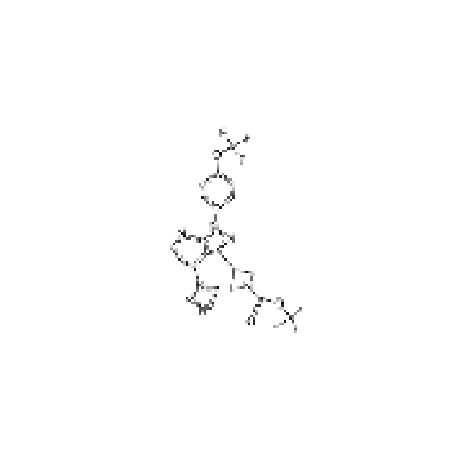 CC(C)(C)OC(=O)N1CC(c2nn(-c3ccc(OC(F)(F)F)cc3)c3nccc(-n4ccnc4)c23)C1